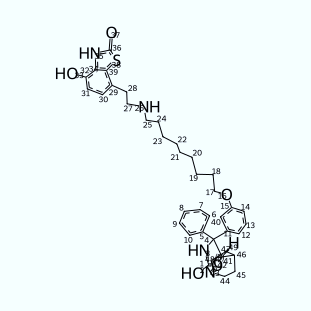 O=C(O)NC(c1ccccc1)(c1cccc(OCCCCCCCCCNCCc2ccc(O)c3[nH]c(=O)sc23)c1)[C@H]1CN2CCC1CC2